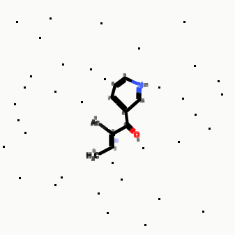 C/C=C(\C(C)=O)C(=O)c1cccnc1